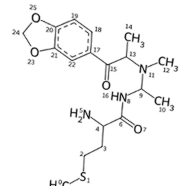 CSCCC(N)C(=O)NC(C)N(C)C(C)C(=O)c1ccc2c(c1)OCO2